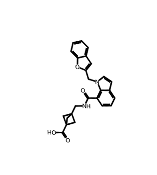 O=C(NCC12CC(C(=O)O)(C1)C2)c1cccc2ccn(Cc3cc4ccccc4o3)c12